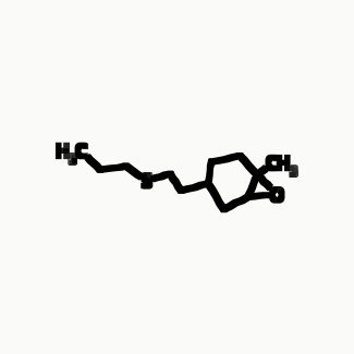 CCCSCCC1CCC2(C)OC2C1